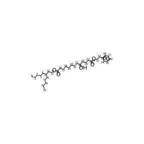 CCCCCC(CCCCC)CCOC(=O)CCCCCCCC(O)CCCC(=O)OCCC12CCC(CC1)CC2